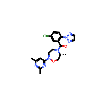 Cc1cc(N2CCN(C(=O)c3cc(Cl)ccc3-n3nccn3)[C@H](C)CO2)nc(C)n1